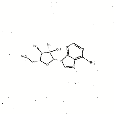 CC(=O)OC[C@H]1O[C@@H](n2cnc3c(N)ncnc32)[C@@](O)(C(C)=O)[C@@H]1Br